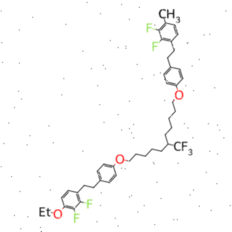 CCOc1ccc(CCc2ccc(OCCCCCC(CCCCCOc3ccc(CCc4ccc(C)c(F)c4F)cc3)C(F)(F)F)cc2)c(F)c1F